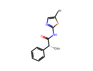 CC(=O)O[C@@H](C(=O)Nc1ncc(C(C)C)s1)c1ccccc1